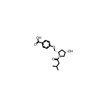 CC(C)CC(=O)N1C[C@@H](O)C[C@H]1COc1ccc(C(=O)O)cc1